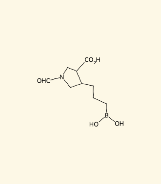 O=CN1CC(CCCB(O)O)C(C(=O)O)C1